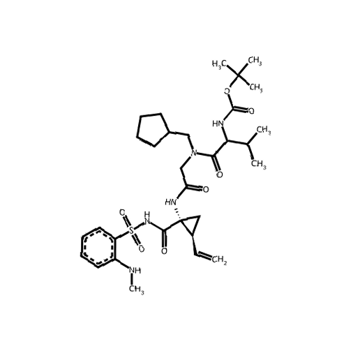 C=C[C@@H]1C[C@]1(NC(=O)CN(CC1CCCC1)C(=O)C(NC(=O)OC(C)(C)C)C(C)C)C(=O)NS(=O)(=O)c1ccccc1NC